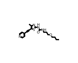 CCCCOCCCNC(=O)Nc1nc(C)c(C#Cc2ccncc2)s1